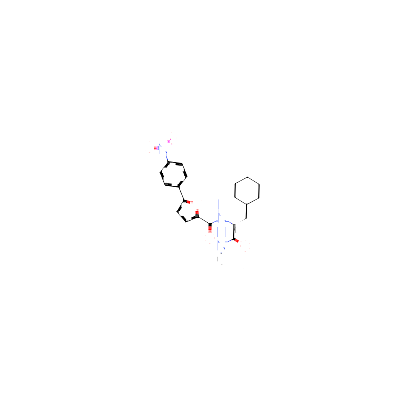 CNC(=O)[C@H](CC1CCCCC1)NC(=O)c1ccc(-c2ccc([N+](=O)[O-])cc2)o1